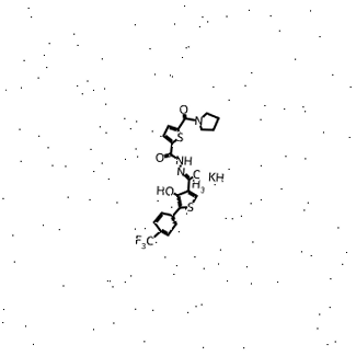 CC(=NNC(=O)c1ccc(C(=O)N2CCCC2)s1)c1csc(-c2ccc(C(F)(F)F)cc2)c1O.[KH]